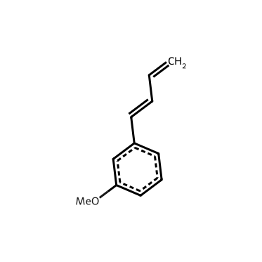 C=CC=Cc1cccc(OC)c1